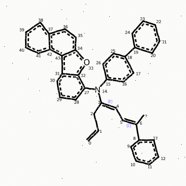 C=CC/C(=C\C=C(/C)c1ccccc1)N(c1ccc(-c2ccccc2)cc1)c1cccc2c1oc1ccc3ccccc3c12